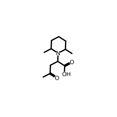 CC(=O)CC(C(=O)O)N1C(C)CCCC1C